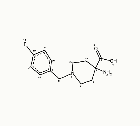 NC1(C(=O)O)CCN(Cc2ccc(F)cc2)CC1